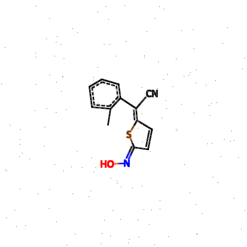 Cc1ccccc1C(C#N)=C1C=CC(=NO)S1